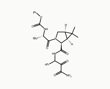 CCCC(NC(=O)[C@@H]1[C@H]2[C@@H](CN1C(=O)[C@@H](NC(=O)OC(C)C)C(C)(C)C)C2(C)C)C(=O)C(N)=O